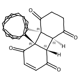 O=C1C=CC(=O)[C@@]2(c3ccccc3)[C@@H]1[C@@H]1C(=O)CCC(=O)[C@@]12c1ccccc1